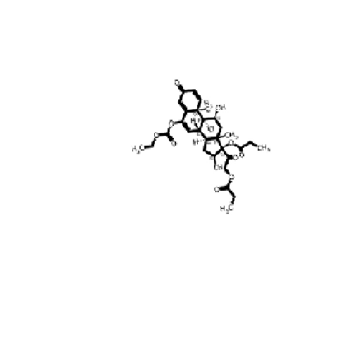 CCOC(=O)OC1=C[C@H]2[C@@H]3C[C@H](C)[C@@](OC(=O)CC)(C(=O)COC(=O)CC)[C@@]3(C)C[C@H](O)[C@]2(Cl)[C@@]2(C)C=CC(=O)C=C12